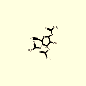 C#CC1OC(OC(C)=O)[C@@H](O)[C@H](OC(C)=O)[C@@H]1OC(C)=O